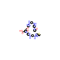 O=C(O)c1cc(COc2cnc(N[C@H]3CC[C@H](Nc4ccc(-n5ccccc5=O)cn4)C3)nc2)c(=O)n(-c2ccc(N[C@H]3CC[C@H](Nc4ncc5sccc5n4)C3)nc2)c1